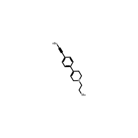 CCCCC#Cc1ccc(C2=CCN(CCC(C)(C)C)CC2)cc1